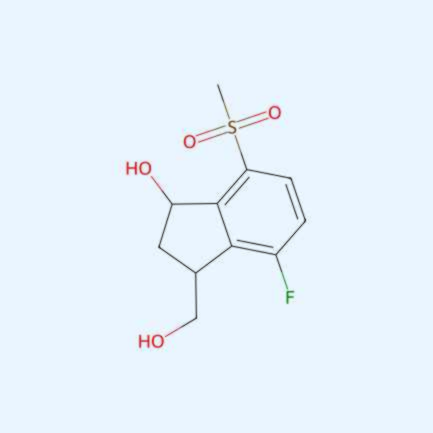 CS(=O)(=O)c1ccc(F)c2c1C(O)CC2CO